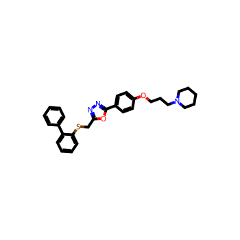 c1ccc(-c2ccccc2SCc2nnc(-c3ccc(OCCCN4CCCCC4)cc3)o2)cc1